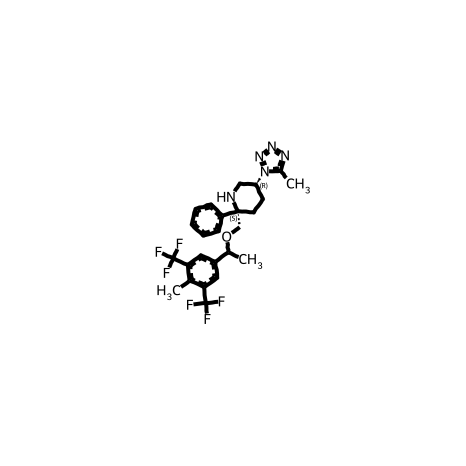 Cc1c(C(F)(F)F)cc(C(C)OC[C@@]2(c3ccccc3)CC[C@@H](n3nnnc3C)CN2)cc1C(F)(F)F